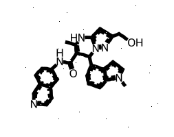 CC1=C(C(=O)Nc2ccc3cnccc3c2)C(c2cccc3c2ccn3C)n2nc(CO)cc2N1